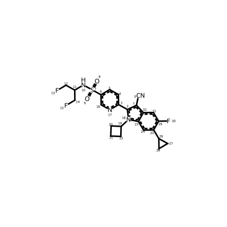 N#Cc1c(-c2ccc(S(=O)(=O)NC(CF)CF)cn2)n(C2CCC2)c2cc(C3CC3)c(F)cc12